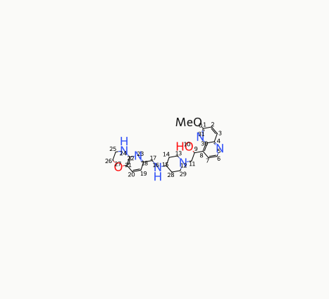 COc1ccc2nccc(C(O)CN3CCC(NCc4ccc5c(n4)NCCO5)CC3)c2n1